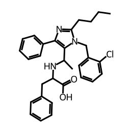 CCCCc1nc(-c2ccccc2)c(C(C)NC(Cc2ccccc2)C(=O)O)n1Cc1ccccc1Cl